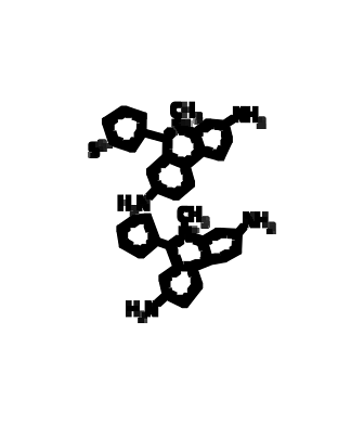 C[n+]1c(-c2ccccc2)c2cc(N)ccc2c2ccc(N)cc21.C[n+]1c(-c2ccccc2)c2cc(N)ccc2c2ccc(N)cc21.[S-2]